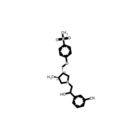 C[C@@H]1CN(CC(O)c2cccc(C#N)c2)C[C@H]1COc1ccc(S(C)(=O)=O)cc1